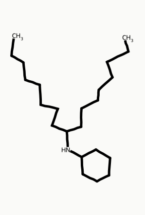 CCCCCCCCC(CCCCCCCC)NC1CCCCC1